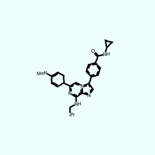 CNC1=CCC(c2cn3c(-c4ccc(C(=O)NC5CC5)cc4)cnc3c(NCC(C)C)n2)C=C1